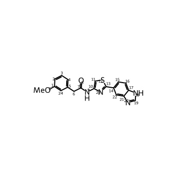 COc1cccc(CC(=O)Nc2csc(-c3ccc4[nH]cnc4c3)n2)c1